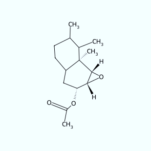 CC(=O)O[C@@H]1CC2CCC(C)C(C)[C@@]2(C)[C@@H]2O[C@@H]21